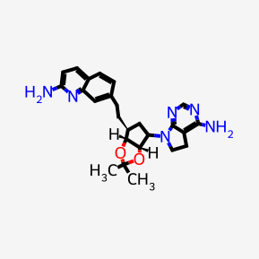 CC1(C)O[C@@H]2[C@@H](CCc3ccc4ccc(N)nc4c3)CC(N3CCc4c(N)ncnc43)[C@@H]2O1